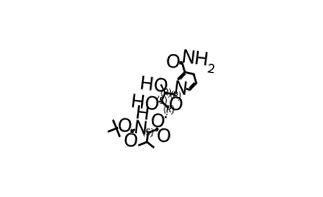 CC(C)[C@H](NC(=O)OC(C)(C)C)C(=O)OC[C@H]1O[C@@H](N2C=CCC(C(N)=O)=C2)[C@H](O)[C@@H]1O